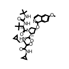 COc1ccc2c(O[C@@H]3C[C@@H](C(=O)N[C@@H](CC4CC4)C(=O)C(=O)NC4CC4)N(C(=O)[C@@H](NC(=O)NC(C)(C)C)C(C)(C)C)C3)nccc2c1